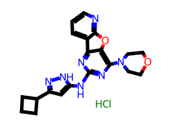 Cl.c1cnc2oc3c(N4CCOCC4)nc(Nc4cc(C5CCC5)n[nH]4)nc3c2c1